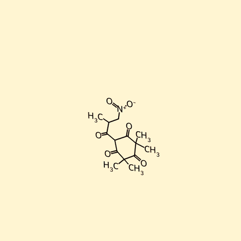 CC(C[N+](=O)[O-])C(=O)C1C(=O)C(C)(C)C(=O)C(C)(C)C1=O